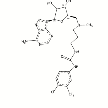 CN(CCCNC(=O)Nc1ccc(Cl)c(C(F)(F)F)c1)C[C@H]1O[C@@H](n2cnc3c(N)ncnc32)C(O)[C@@H]1O